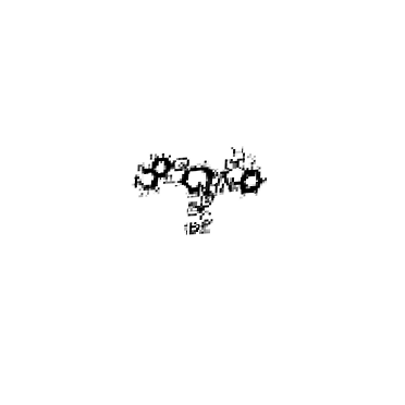 Cc1ccccc1NC(=O)[C@H]1C[C@H](Oc2ccc3cnccc3c2)CCN1OC(=O)OC(C)(C)C